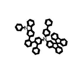 c1ccc(-c2ccc(N(c3ccc(-c4ccccc4-c4ccc5c6ccccc6n(-c6ccccc6)c5c4)c(-c4ccccc4)c3)c3ccc4c(c3)C3(c5ccccc5-c5ccccc53)c3ccccc3-4)cc2)cc1